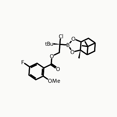 COc1ccc(F)cc1C(=O)OC[C@](Cl)(B1OC2CC3CC(C3(C)C)[C@]2(C)O1)C(C)(C)C